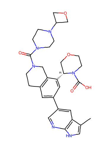 Cc1c[nH]c2ncc(-c3cc4c(c([C@@H]5COCCN5C(=O)O)c3)CN(C(=O)N3CCN(C5COC5)CC3)CC4)cc12